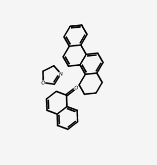 C1=NCCO1.O=C1CC=Cc2ccccc21.c1ccc2c(c1)ccc1c3c(ccc12)CCCC3